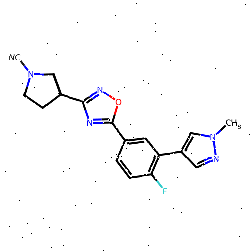 Cn1cc(-c2cc(-c3nc(C4CCN(C#N)C4)no3)ccc2F)cn1